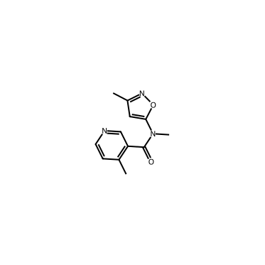 Cc1cc(N(C)C(=O)c2cnccc2C)on1